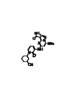 CNc1cc(Nc2cccn([C@@H]3CCC[C@H](C#N)C3)c2=O)nc2c(C(N)=O)cnn12